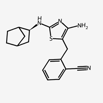 N#Cc1ccccc1Cc1sc(N[C@H]2CC3CCC2C3)nc1N